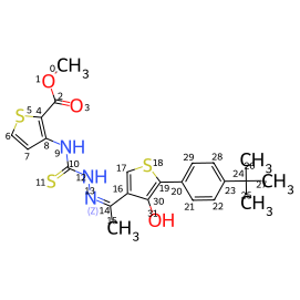 COC(=O)c1sccc1NC(=S)N/N=C(/C)c1csc(-c2ccc(C(C)(C)C)cc2)c1O